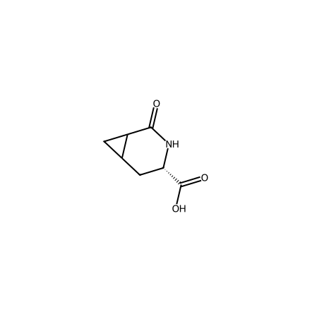 O=C1N[C@H](C(=O)O)CC2CC12